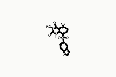 O=c1[nH]c2c(S(=O)(=O)c3ccc4sccc4c3)ccc(Cl)c2c(=O)n1O